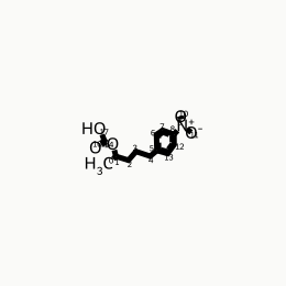 CC(CCCc1ccc([N+](=O)[O-])cc1)OC(=O)O